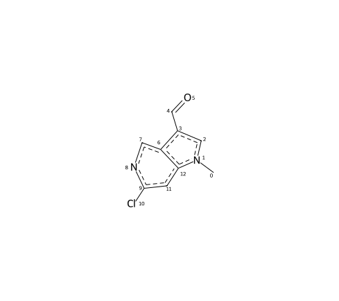 Cn1cc(C=O)c2cnc(Cl)cc21